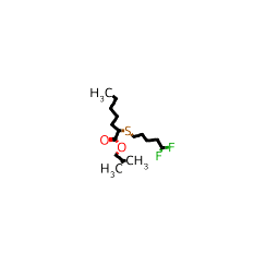 CCCCCC(SCCCCC(F)F)C(=O)OCC(C)C